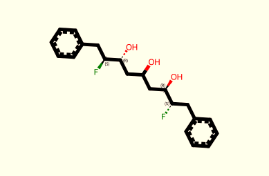 OC(C[C@@H](O)[C@@H](F)Cc1ccccc1)C[C@@H](O)[C@@H](F)Cc1ccccc1